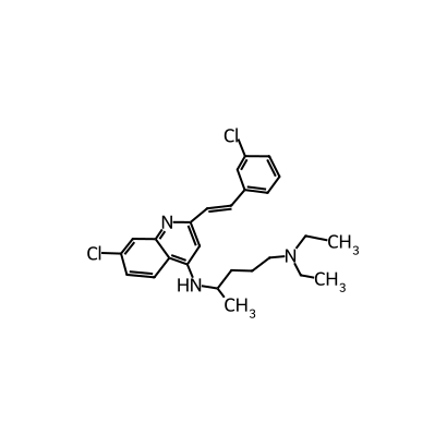 CCN(CC)CCCC(C)Nc1cc(/C=C/c2cccc(Cl)c2)nc2cc(Cl)ccc12